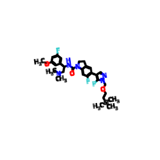 COc1cc(F)cc(C(CN(C)C)NC(=O)N2CCc3cc(-c4cnn(COCC[Si](C)(C)C)c4F)c(F)cc32)c1